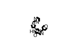 O=c1[nH]c([C@H]2CCN(Cc3ncccn3)C2)cn2c(C3CCOCC3)ncc12